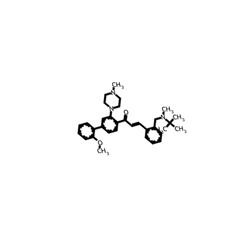 COc1ccccc1-c1ccc(C(=O)C=Cc2ccccc2CN(C)C(C)(C)C)c(N2CCN(C)CC2)c1